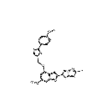 COc1cc(OCc2csc(-c3ccc(C=O)cc3)n2)c2cc(-c3cn4nc(C)sc4n3)oc2c1